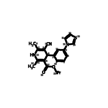 CC1=C(C#N)C(c2cccc(-n3ccnc3)c2)C(C(=O)OC(C)C)=C(C)N1